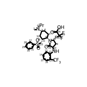 CC(C)N(C)[C@@H]1CC[C@H](N2CCC(Nc3ccccc3C(F)(F)F)C2=O)[C@H](CS(=O)(=O)c2ccccc2)C1.O=C(O)C(F)(F)F